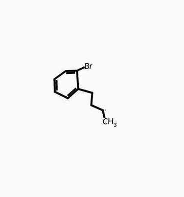 C[CH]CCc1ccccc1Br